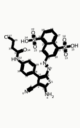 N#Cc1c(N)sc(/N=N/c2cc(S(=O)(=O)O)c3cccc(S(=O)(=O)O)c3c2)c1-c1ccc(NC(=O)CCCl)cc1